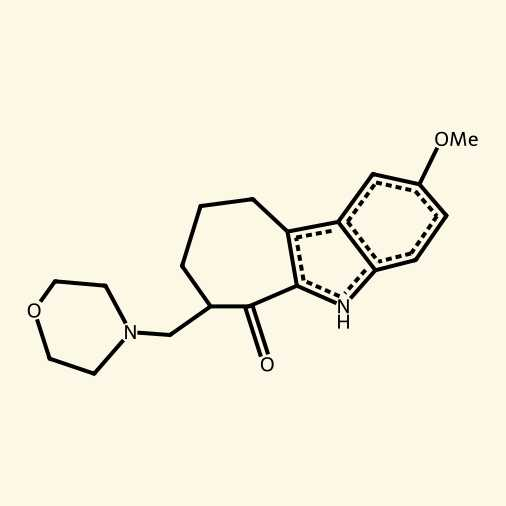 COc1ccc2[nH]c3c(c2c1)CCCC(CN1CCOCC1)C3=O